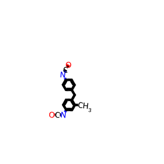 Cc1cc(N=C=O)ccc1Cc1ccc(N=C=O)cc1